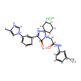 Cc1cn(-c2cccc(C3=NC4(CCCCC4)N(CC(=O)Nc4cccc(C(F)(F)F)c4)C3=O)c2)cn1.Cl